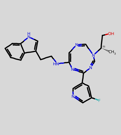 C[C@@H](CO)n1cncc(NCCc2c[nH]c3ccccc23)nc(-c2cncc(F)c2)nc1